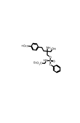 CCCCCCCCc1ccc(CCC(N)(CO)COP(=O)(NCC(=O)OCC)Oc2ccccc2)cc1